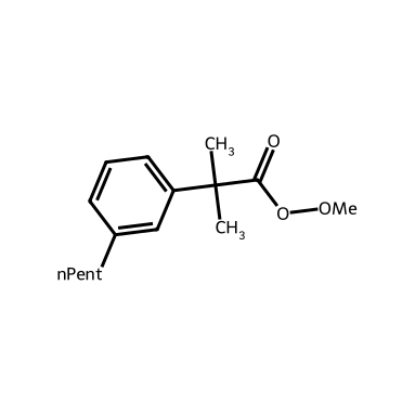 CCCCCc1cccc(C(C)(C)C(=O)OOC)c1